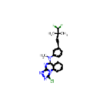 CN(c1cccc(C#CC(C)(C)C(F)F)c1)c1nc2nnc(Cl)n2c2ccccc12